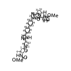 COC(=O)NCC(C)CC(=O)N1CCC(c2ncc(-c3ccc(-c4ccc(-c5cnc(C6CCCN6C(=O)C(NC(=O)OC)C(C)C)[nH]5)cc4)cc3)[nH]2)C1